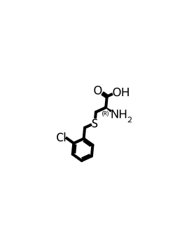 N[C@@H](CSCc1ccccc1Cl)C(=O)O